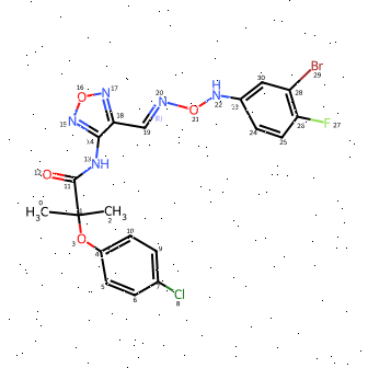 CC(C)(Oc1ccc(Cl)cc1)C(=O)Nc1nonc1/C=N/ONc1ccc(F)c(Br)c1